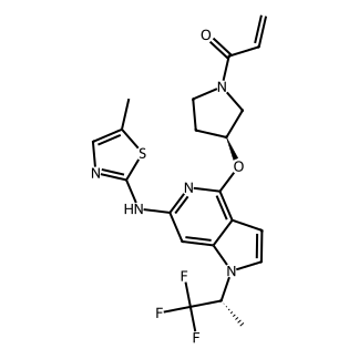 C=CC(=O)N1CC[C@H](Oc2nc(Nc3ncc(C)s3)cc3c2ccn3[C@H](C)C(F)(F)F)C1